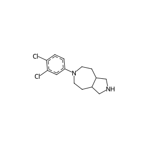 Clc1ccc(N2CCC3CNCC3CC2)cc1Cl